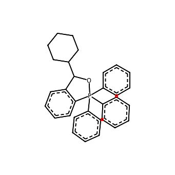 c1ccc(P2(c3ccccc3)(c3ccccc3)OC(C3CCCCC3)c3ccccc32)cc1